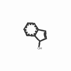 OC1C=Cc2[c]cccc21